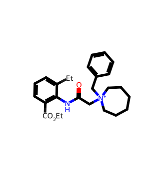 CCOC(=O)c1cccc(CC)c1NC(=O)C[N+]1(Cc2ccccc2)CCCCCC1